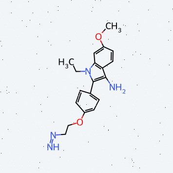 CCn1c(-c2ccc(OCCN=N)cc2)c(N)c2ccc(OC)cc21